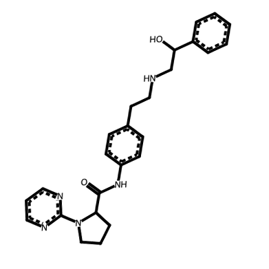 O=C(Nc1ccc(CCNCC(O)c2ccccc2)cc1)C1CCCN1c1ncccn1